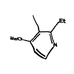 CCc1nccc(OC)c1C